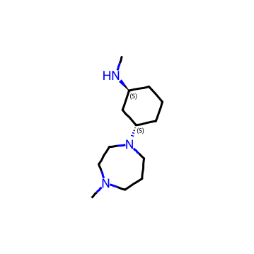 CN[C@H]1CCC[C@H](N2CCCN(C)CC2)C1